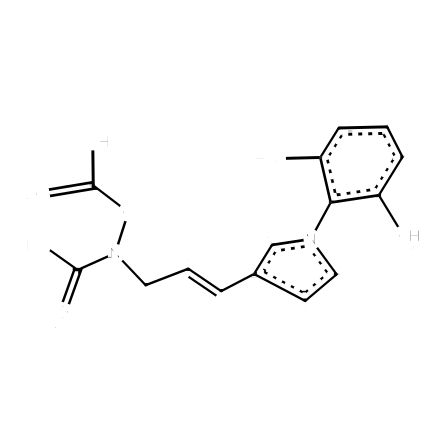 CC(=O)ON(CC=Cc1ccn(-c2c(C)cccc2C)c1)C(C)=O